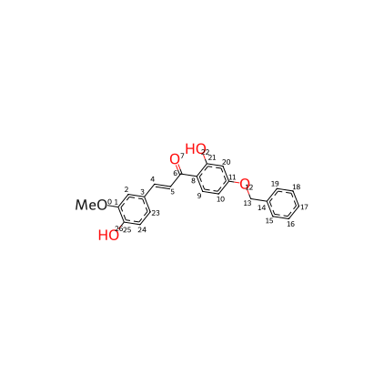 COc1cc(C=CC(=O)c2ccc(OCc3ccccc3)cc2O)ccc1O